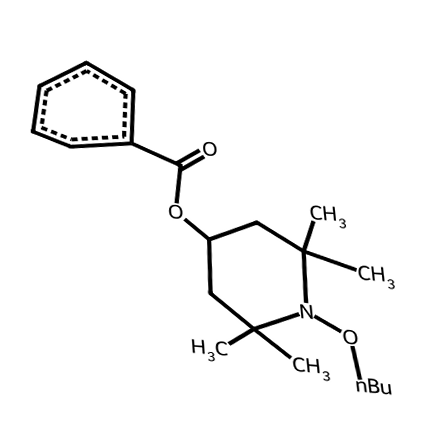 CCCCON1C(C)(C)CC(OC(=O)c2ccccc2)CC1(C)C